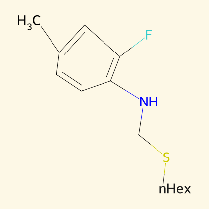 CCCCCCSCNc1ccc(C)cc1F